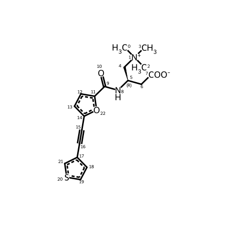 C[N+](C)(C)C[C@@H](CC(=O)[O-])NC(=O)c1ccc(C#Cc2ccsc2)o1